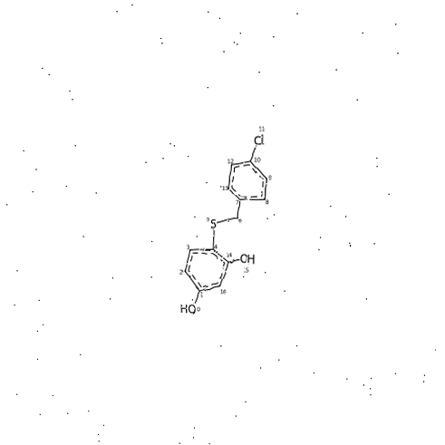 Oc1ccc(SCc2ccc(Cl)cc2)c(O)c1